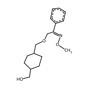 CON=C(COCC1CCC(CO)CC1)c1ccccc1